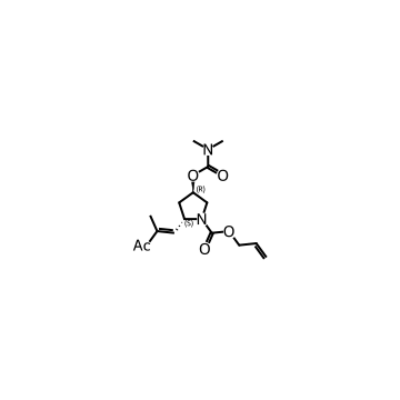 C=CCOC(=O)N1C[C@H](OC(=O)N(C)C)C[C@H]1C=C(C)C(C)=O